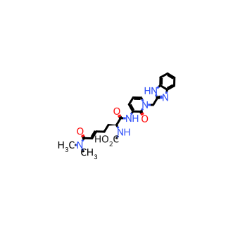 CN(C)C(=O)/C=C/CC[C@H](NC(=O)O)C(=O)Nc1cccn(Cc2nc3ccccc3[nH]2)c1=O